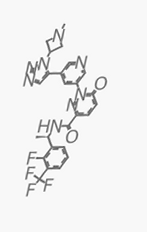 C[C@@H](NC(=O)c1ccc(=O)n(-c2cncc(-c3cnnn3C3CN(C)C3)c2)n1)c1cccc(C(F)(F)F)c1F